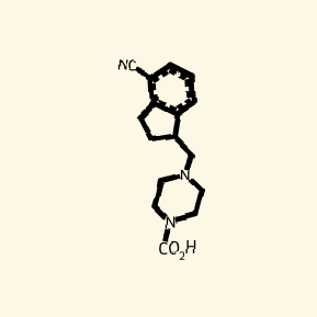 N#Cc1cccc2c1CCC2CN1CCN(C(=O)O)CC1